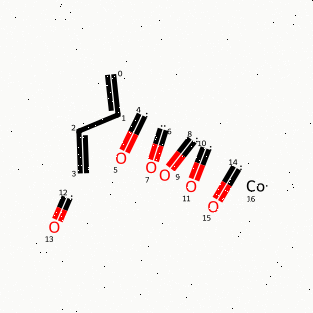 C=CC=C.[C]=O.[C]=O.[C]=O.[C]=O.[C]=O.[C]=O.[Co]